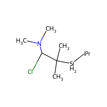 CC(C)[SiH2]C(C)(C)C(Cl)N(C)C